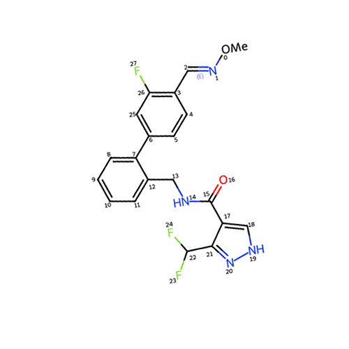 CO/N=C/c1ccc(-c2ccccc2CNC(=O)c2c[nH]nc2C(F)F)cc1F